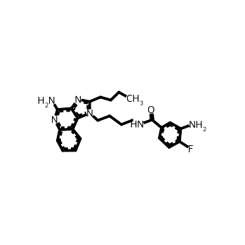 CCCCc1nc2c(N)nc3ccccc3c2n1CCCCNC(=O)c1ccc(F)c(N)c1